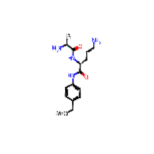 COCc1ccc(NC(=O)[C@H](CCCN)NC(=O)[C@@H](N)C(C)C)cc1